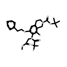 COC(=O)CN(C(=O)C(F)(F)F)c1c(OCCc2ccccc2)cc2c(c1F)CN(C(=O)OC(C)(C)C)CC2